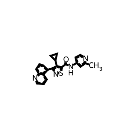 Cc1cc(NC(=O)c2snc(-c3cccc4ncccc34)c2C2CC2)ccn1